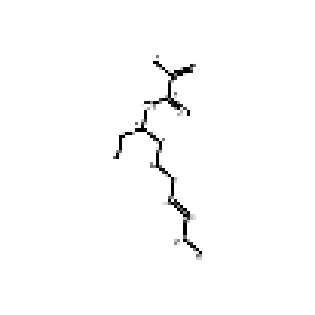 C=C(C)C(=O)OC(CC)CCCC=CCC